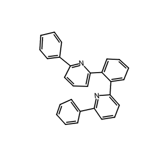 c1ccc(-c2cccc(-c3ccccc3-c3cccc(-c4ccccc4)n3)n2)cc1